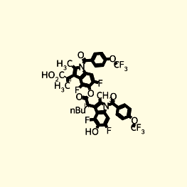 CCCC[C@H](C(=O)Oc1c(F)cc2c(c1F)c([C@H](C)C(=O)O)c(C)n2C(=O)c1ccc(OC(F)(F)F)cc1)c1c(C)n(C(=O)c2ccc(OC(F)(F)F)cc2)c2cc(F)c(O)c(F)c12